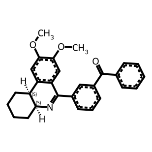 COc1cc2c(cc1OC)[C@@H]1CCCC[C@@H]1N=C2c1cccc(C(=O)c2ccccc2)c1